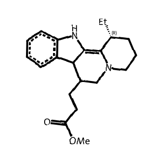 CC[C@@H]1CCCN2CC(CCC(=O)OC)C3C(=C12)Nc1ccccc13